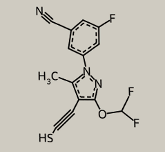 Cc1c(C#CS)c(OC(F)F)nn1-c1cc(F)cc(C#N)c1